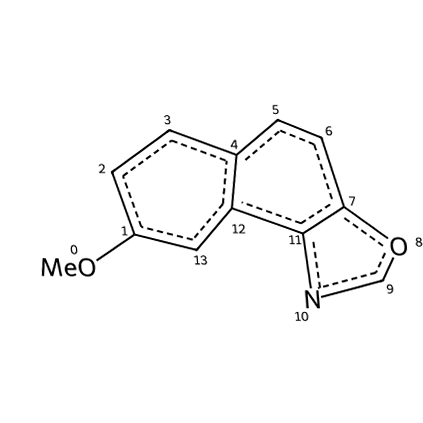 COc1ccc2ccc3ocnc3c2c1